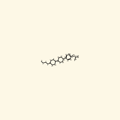 CCCCC1CCC(C2CCC(c3ccc(OC(F)F)nc3)CC2)CC1